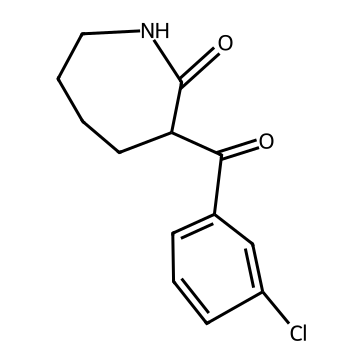 O=C1NCCCCC1C(=O)c1cccc(Cl)c1